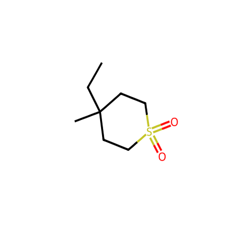 CCC1(C)CCS(=O)(=O)CC1